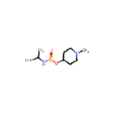 CC(C=O)N[PH](=O)OC1CCN(C)CC1